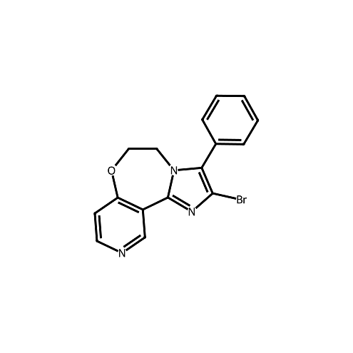 Brc1nc2n(c1-c1ccccc1)CCOc1ccncc1-2